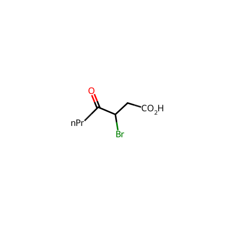 CCCC(=O)C(Br)CC(=O)O